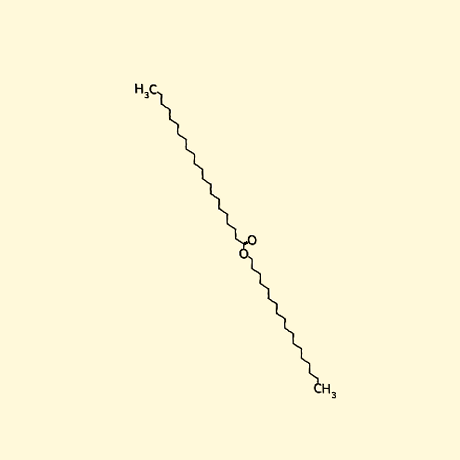 CCCCCCCCCCCCCCCCCCCCCC(=O)OCCCCCCCCCCCCCCCCCC